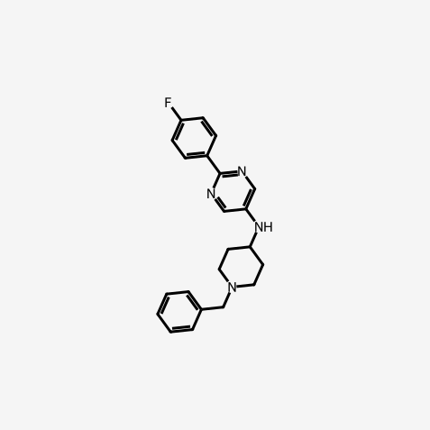 Fc1ccc(-c2ncc(NC3CCN(Cc4ccccc4)CC3)cn2)cc1